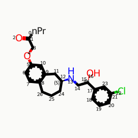 CCCC(=O)COc1ccc2c(c1)C[C@@H](NC[C@H](O)c1cccc(Cl)c1)CCC2